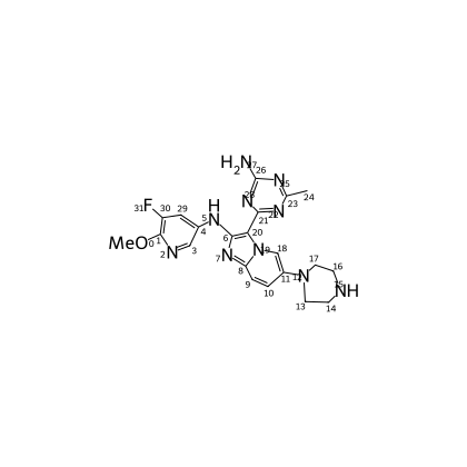 COc1ncc(Nc2nc3ccc(N4CCNCC4)cn3c2-c2nc(C)nc(N)n2)cc1F